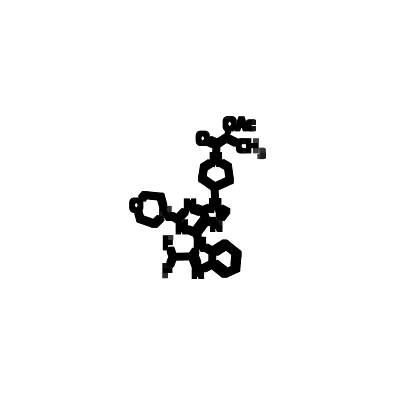 CC(=O)O[C@H](C)C(=O)N1CCC(n2cnc3c(-n4c(C(F)F)nc5ccccc54)nc(N4CCOCC4)nc32)CC1